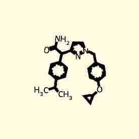 CC(C)c1ccc(C(C(N)=O)c2ccn(Cc3ccc(OC4CC4)cc3)n2)cc1